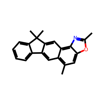 Cc1nc2c(cc(C)c3cc4c(cc32)C(C)(C)c2ccccc2-4)o1